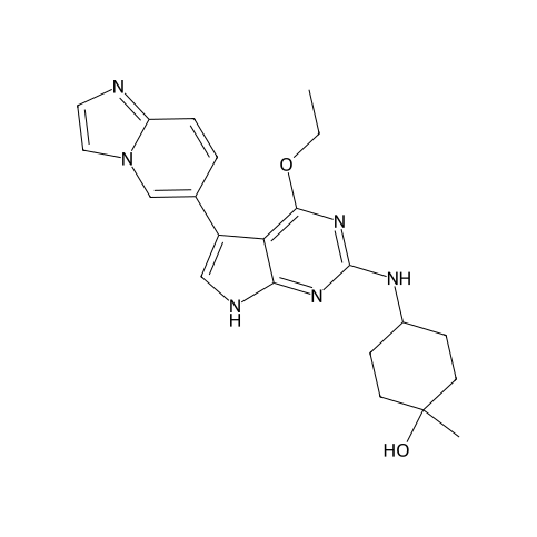 CCOc1nc(NC2CCC(C)(O)CC2)nc2[nH]cc(-c3ccc4nccn4c3)c12